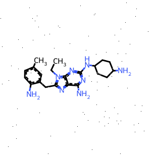 CCn1c(Cc2cc(C)ccc2N)nc2c(N)nc(NC3CCC(N)CC3)nc21